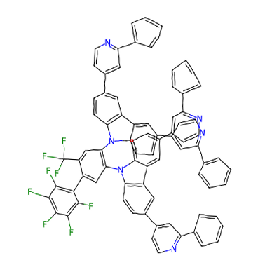 Fc1c(F)c(F)c(-c2cc(-n3c4ccc(-c5ccnc(-c6ccccc6)c5)cc4c4cc(-c5ccnc(-c6ccccc6)c5)ccc43)c(-n3c4ccc(-c5ccnc(-c6ccccc6)c5)cc4c4cc(-c5ccnc(-c6ccccc6)c5)ccc43)cc2C(F)(F)F)c(F)c1F